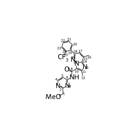 COCc1nccc(NC(=O)c2c(C)nc3c(C)cc(-c4ccccc4C(F)(F)F)nn23)n1